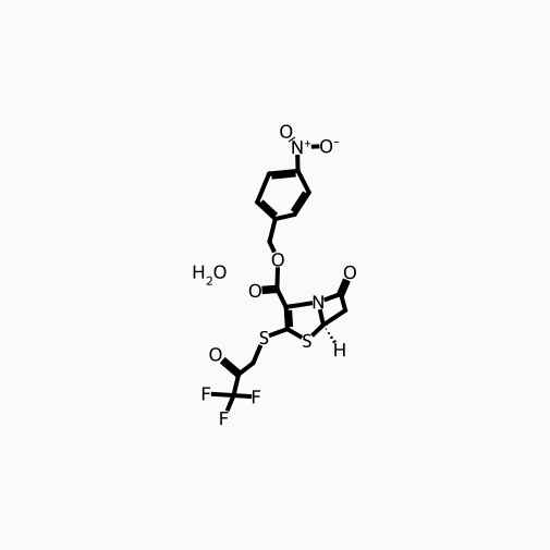 O.O=C(OCc1ccc([N+](=O)[O-])cc1)C1=C(SCC(=O)C(F)(F)F)S[C@@H]2CC(=O)N12